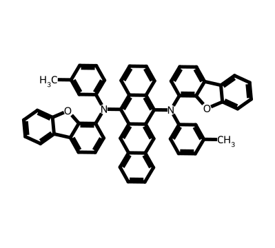 Cc1cccc(N(c2c3ccccc3c(N(c3cccc(C)c3)c3cccc4c3oc3ccccc34)c3cc4ccccc4cc23)c2cccc3c2oc2ccccc23)c1